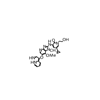 COc1c(O/C(C=N)=C2\C=CC=CN2)cnc2nc(Nc3cc(C4CC4)cn(CCO)c3=O)n(C)c12